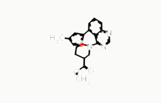 COC(=O)C1CCCN(c2ncnc3cccc(-c4cc(C)cs4)c23)C1